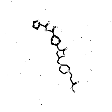 COC(=O)CCN1CCN(CC2CN(c3ccc(C(=N)NC(=O)c4ccco4)cc3)C(=O)O2)CC1